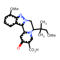 COCC(C)(C)C1Cn2nc3c(OC)cccc3c2-c2cc(=O)c(C(=O)O)cn21